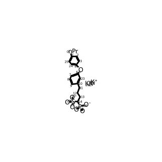 CCCc1ccc(Oc2cccc(CCCC(P(=O)([O-])[O-])S(=O)(=O)[O-])c2)cc1.[K+].[K+].[K+]